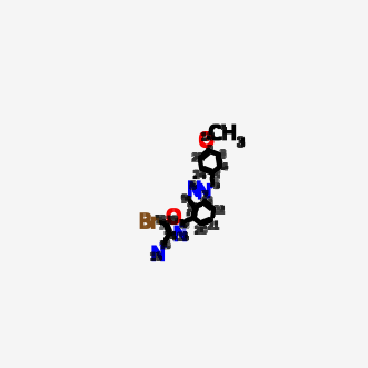 COc1ccc(Cn2ncc3c(-c4nc(C#N)c(Br)o4)cccc32)cc1